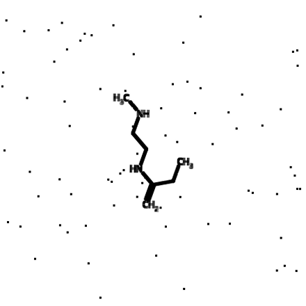 C=C(CC)NCCNC